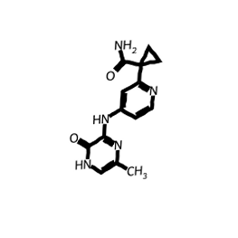 Cc1c[nH]c(=O)c(Nc2ccnc(C3(C(N)=O)CC3)c2)n1